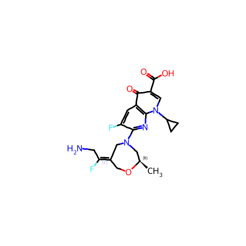 C[C@@H]1CN(c2nc3c(cc2F)c(=O)c(C(=O)O)cn3C2CC2)C/C(=C(/F)CN)CO1